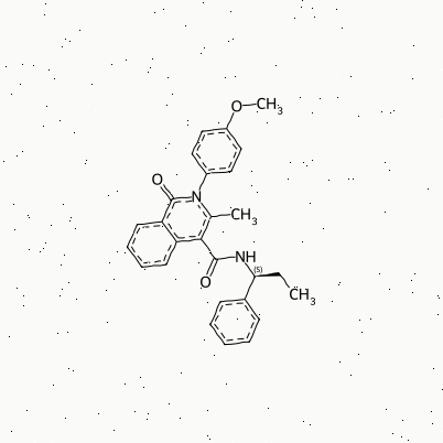 CC[C@H](NC(=O)c1c(C)n(-c2ccc(OC)cc2)c(=O)c2ccccc12)c1ccccc1